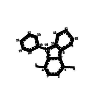 Cc1ccc(C)c2c1c1ccccc1n2-c1ccccc1